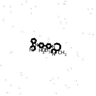 C=C1/C=C\C=C/CN(c2ccc(-c3ccc(-n4c5ccccc5c5cnccc54)cc3C)c(C)c2)c2ccncc21